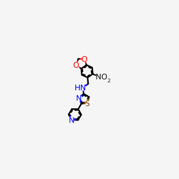 O=[N+]([O-])c1cc2c(cc1CNc1csc(-c3ccncc3)n1)OCO2